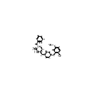 COc1ccc(Br)c(CC2CCN(CC3CCN(Cc4ccccc4)C(=O)N3)CC2)c1